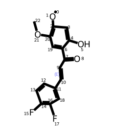 COc1cc(O)c(C(=O)/C=C/c2ccc(F)c(F)c2)cc1OC